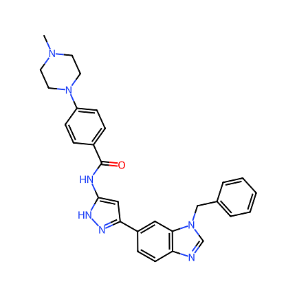 CN1CCN(c2ccc(C(=O)Nc3cc(-c4ccc5ncn(Cc6ccccc6)c5c4)n[nH]3)cc2)CC1